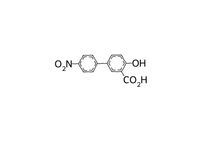 O=C(O)c1cc(-c2ccc([N+](=O)[O-])cc2)ccc1O